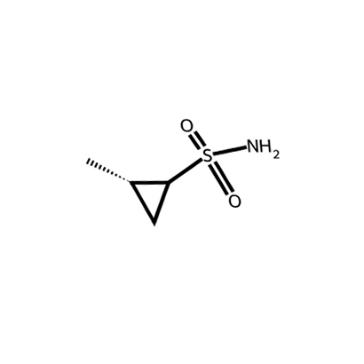 C[C@H]1CC1S(N)(=O)=O